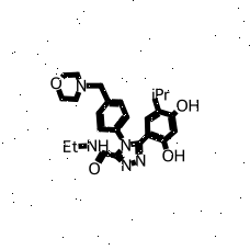 CCNC(=O)c1nnc(-c2cc(C(C)C)c(O)cc2O)n1-c1ccc(CN2CCOCC2)cc1